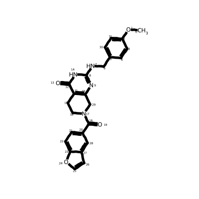 COc1ccc(CNc2nc3c(c(=O)[nH]2)CCN(C(=O)c2ccc4occc4c2)C3)cc1